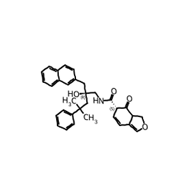 CC(C)(C[C@@](O)(CNC(=O)[C@H]1C=CC2=COCC2C1=O)Cc1ccc2ccccc2c1)c1ccccc1